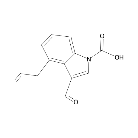 C=CCc1cccc2c1c(C=O)cn2C(=O)O